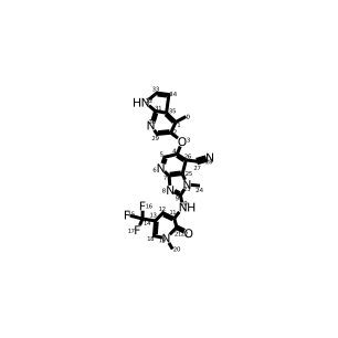 Cc1c(Oc2cnc3nc(Nc4cc(C(F)(F)F)cn(C)c4=O)n(C)c3c2C#N)cnc2[nH]ccc12